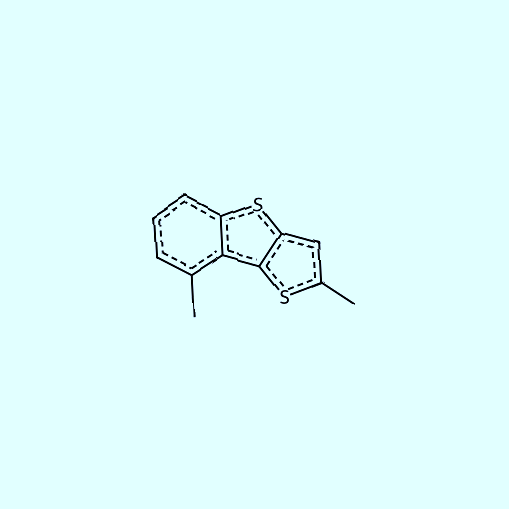 Cc1cc2sc3cccc(C)c3c2s1